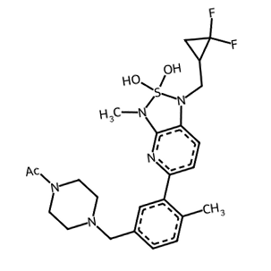 CC(=O)N1CCN(Cc2ccc(C)c(-c3ccc4c(n3)N(C)S(O)(O)N4CC3CC3(F)F)c2)CC1